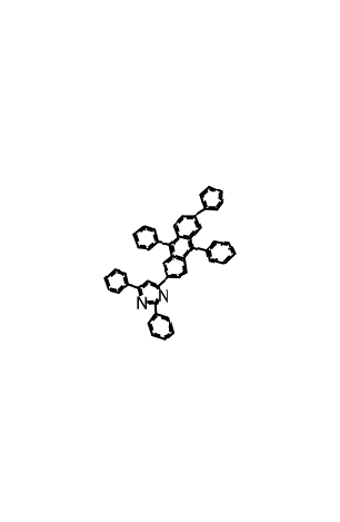 c1ccc(-c2ccc3c(-c4ccccc4)c4cc(-c5cc(-c6ccccc6)nc(-c6ccccc6)n5)ccc4c(-c4ccccc4)c3c2)cc1